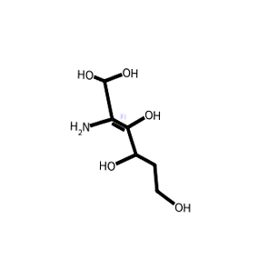 N/C(=C(/O)C(O)CCO)C(O)O